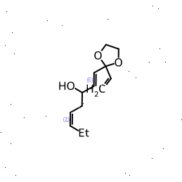 C=CC1(/C=C/C(O)C/C=C\CC)OCCO1